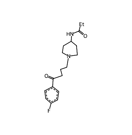 CCC(=O)NC1CCN(CCCC(=O)c2ccc(F)cc2)CC1